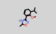 COC1=C(C2=NOC(C)N2)C=CCC1C(C)C